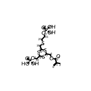 C=C(C)C(=O)OCC1SC(COP(=O)(O)O)SC(CSCCOP(=O)(O)O)S1